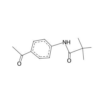 CC(=O)c1ccc(NC(=O)C(C)(C)C)cc1